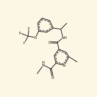 CNC(=O)c1cc(C(=O)NC(C)c2cccc(OC(F)(F)F)c2)cc(C)n1